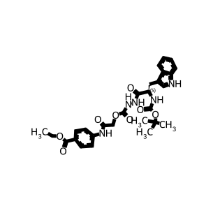 CCOC(=O)c1ccc(NC(=O)COC(=O)NNC(=O)[C@H](Cc2c[nH]c3ccccc23)NC(=O)OC(C)(C)C)cc1